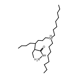 CCCCCCC[CH2][SnH]([CH2]CCCCCCC)[CH2]CCC(CCCC)C(CC)C(=O)NN